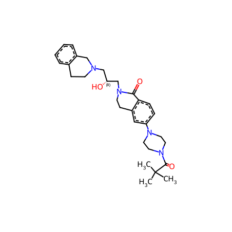 CC(C)(C)C(=O)N1CCN(c2ccc3c(c2)CCN(C[C@H](O)CN2CCc4ccccc4C2)C3=O)CC1